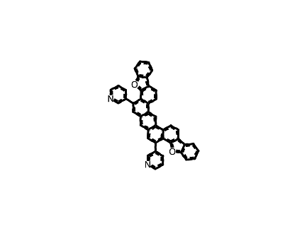 c1cncc(-c2cc3cc4cc(-c5cccnc5)c5c(ccc6c7ccccc7oc65)c4cc3c3ccc4c5ccccc5oc4c23)c1